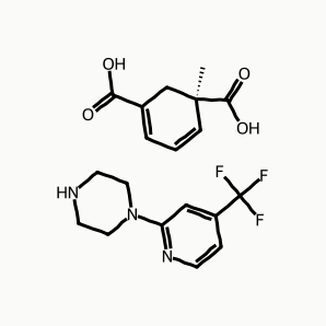 C[C@]1(C(=O)O)C=CC=C(C(=O)O)C1.FC(F)(F)c1ccnc(N2CCNCC2)c1